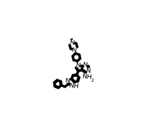 CN1CCN(C2CCC(n3cc(-c4ccc5[nH]c(Cc6ccccc6)nc5c4)c4c(N)ncnc43)CC2)CC1